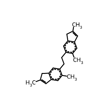 CC1=Cc2cc(C)c(CCc3cc4c(cc3C)C=C(C)C4)cc2C1